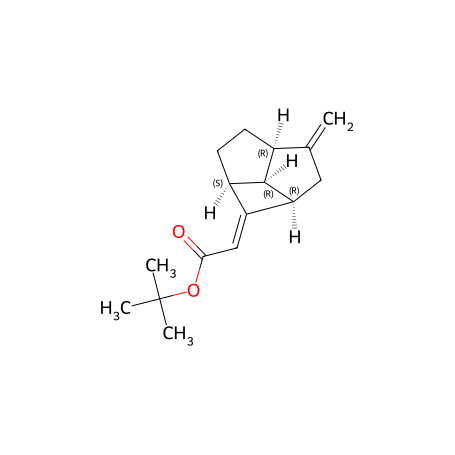 C=C1C[C@H]2C(=CC(=O)OC(C)(C)C)[C@H]3CC[C@@H]1[C@H]32